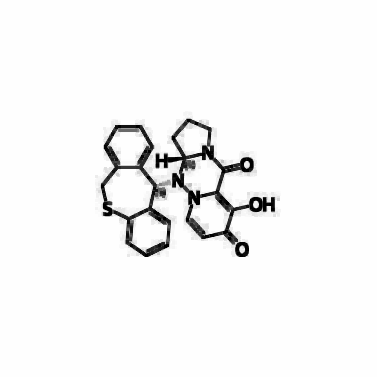 O=C1c2c(O)c(=O)ccn2N([C@H]2c3ccccc3CSc3ccccc32)[C@@H]2CCCN12